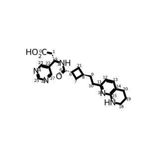 O=C(O)C[C@H](NC(=O)[C@H]1C[C@H](CCc2ccc3c(n2)NCCC3)C1)c1cncnc1